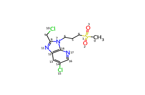 CS(=O)(=O)CCCn1c(CCl)nc2cc(Cl)cnc21